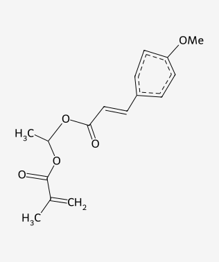 C=C(C)C(=O)OC(C)OC(=O)/C=C/c1ccc(OC)cc1